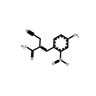 CC(=O)/C(=C/c1ccc(C)cc1[N+](=O)[O-])CC#N